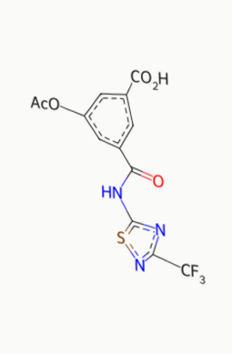 CC(=O)Oc1cc(C(=O)O)cc(C(=O)Nc2nc(C(F)(F)F)ns2)c1